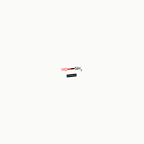 C=C.O[SiH3]